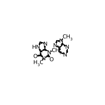 Cn1c(=O)c2[nH]cnc2n(C)c1=O.Cn1cnc2cncnc21